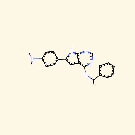 CC(Nc1ncnc2[nH]c(-c3ccc(N(C)C)cc3)cc12)c1ccccc1